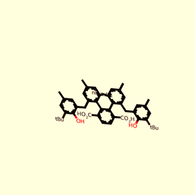 CCCCc1cc(C)cc(Cc2cc(C)cc(C(C)(C)C)c2O)c1-c1c(C(=O)O)ccc(C(=O)O)c1-c1c(CCCC)cc(C)cc1Cc1cc(C)cc(C(C)(C)C)c1O